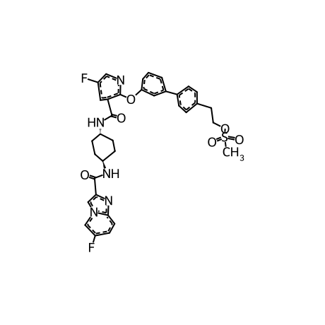 CS(=O)(=O)OCCc1ccc(-c2cccc(Oc3ncc(F)cc3C(=O)N[C@H]3CC[C@H](NC(=O)c4cn5cc(F)ccc5n4)CC3)c2)cc1